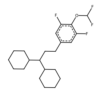 Fc1cc(CCC(C2CCCCC2)C2CCCCC2)cc(F)c1OC(F)F